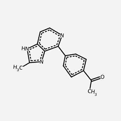 CC(=O)c1ccc(-c2nccc3[nH]c(C)nc23)cc1